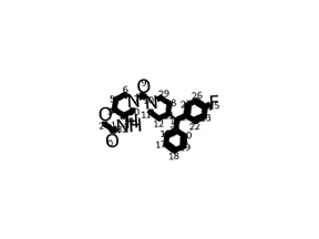 O=C1COC2CCN(C(=O)N3CCC([C@H](c4ccccc4)c4ccc(F)cc4)CC3)C[C@H]2N1